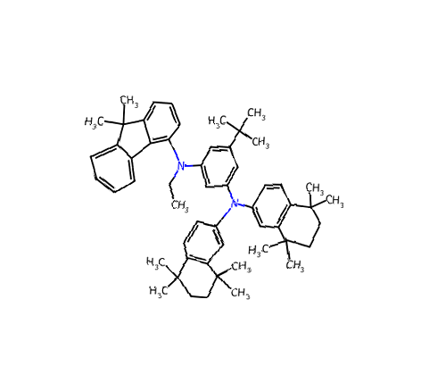 CCN(c1cc(N(c2ccc3c(c2)C(C)(C)CCC3(C)C)c2ccc3c(c2)C(C)(C)CCC3(C)C)cc(C(C)(C)C)c1)c1cccc2c1-c1ccccc1C2(C)C